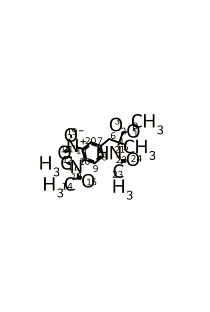 COC(=O)C(C)(Cc1ccc(N(C)C(C)=O)c([N+](=O)[O-])c1)NC(C)=O